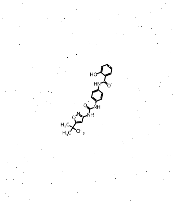 CC(C)(C)c1cc(NC(=O)Nc2ccc(NC(=O)c3ccccc3O)cc2)no1